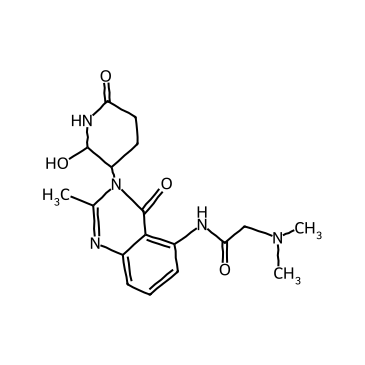 Cc1nc2cccc(NC(=O)CN(C)C)c2c(=O)n1C1CCC(=O)NC1O